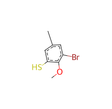 COc1c(S)cc(C)cc1Br